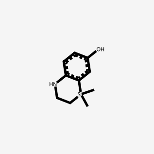 C[Si]1(C)CCNc2ccc(O)cc21